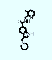 Cc1cccnc1CNC(=O)c1ccc2c(CN3CCCCC3)c[nH]c2c1